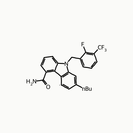 CCCCc1c[c]c2c3c(C(N)=O)cccc3n(Cc3cccc(C(F)(F)F)c3F)c2c1